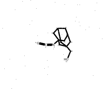 O=C=NC12CC3CC(CC(CO)(C3)C1)C2